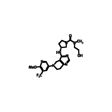 COc1ncc(N2CCc3ncnc(N[C@H]4CCN(C(=O)N(C)CCO)C4)c3C2)cc1C(F)(F)F